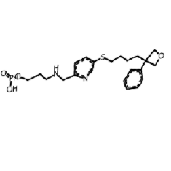 O=[PH](O)OCCCNCc1ccc(SCCCCC2(c3ccccc3)COC2)cn1